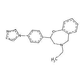 CCN1Cc2ccccc2OC(c2ccc(-n3ccnc3)cc2)C1